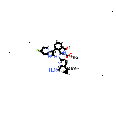 COC1(c2ccc(NC3c4c(cccc4-c4cnc5cc(F)ccn45)C(=O)N3C(=O)OC(C)(C)C)nc2CN)CC1